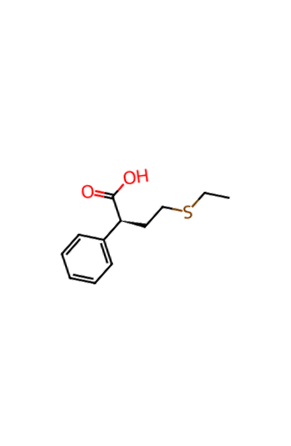 CCSCC[C@H](C(=O)O)c1ccccc1